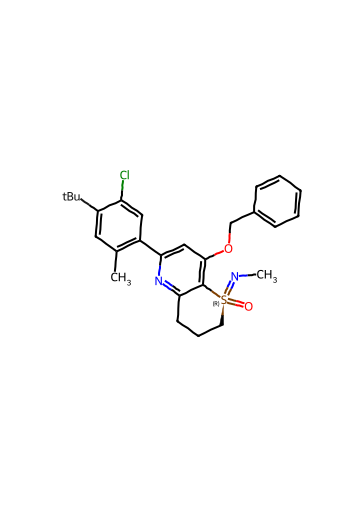 CN=[S@@]1(=O)CCCc2nc(-c3cc(Cl)c(C(C)(C)C)cc3C)cc(OCc3ccccc3)c21